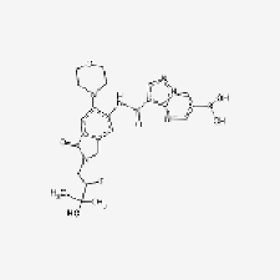 CC(C)(O)[C@H](F)CN1Cc2cc(NC(=O)c3cnn4cc(B(O)O)cnc34)c(N3CCOCC3)cc2C1=O